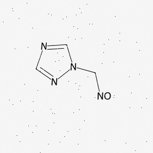 O=NCn1cncn1